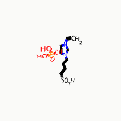 C=CN1C=CN(CCCCS(=O)(=O)O)C1.O=P(O)(O)O